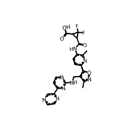 Cc1nc(-c2onc(C)c2CNc2nccc(-c3cnccn3)n2)ccc1NC(=O)C1C(C(=O)O)C1(F)F